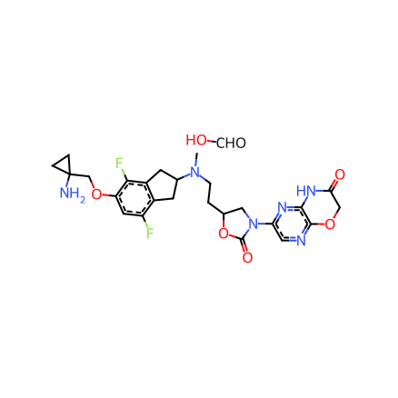 CN(CCC1CN(c2cnc3c(n2)NC(=O)CO3)C(=O)O1)C1Cc2c(F)cc(OCC3(N)CC3)c(F)c2C1.O=CO